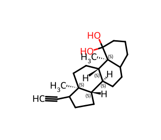 C#CC1CC[C@H]2[C@@H]3CCC4CCCC(O)(O)[C@]4(C)[C@H]3CC[C@]12C